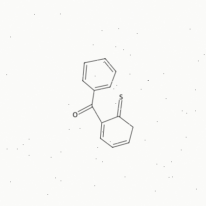 O=C(C1=CC=CCC1=S)c1ccccc1